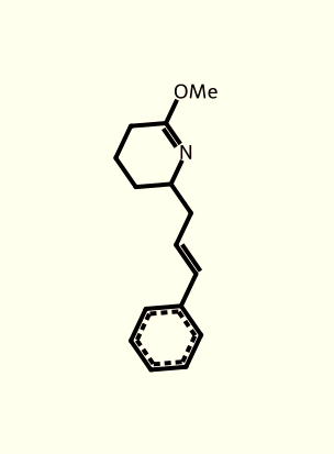 COC1=NC(CC=Cc2ccccc2)CCC1